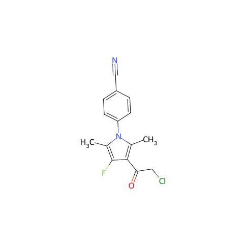 Cc1c(F)c(C(=O)CCl)c(C)n1-c1ccc(C#N)cc1